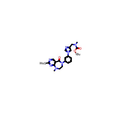 CSc1ncc2c(n1)N(C)CCN(c1cccc(-n3cnc(CN(C)C(=O)OC(C)(C)C)c3)c1)C2=O